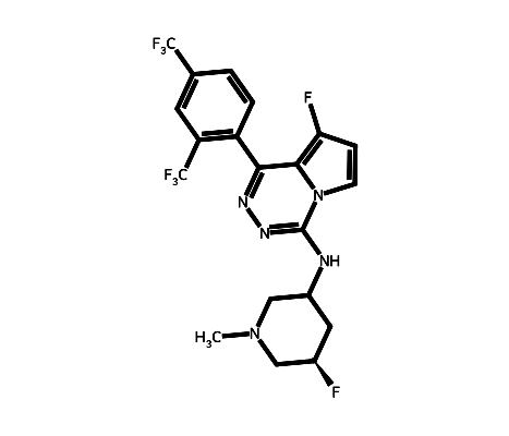 CN1CC(Nc2nnc(-c3ccc(C(F)(F)F)cc3C(F)(F)F)c3c(F)ccn23)C[C@@H](F)C1